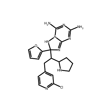 NC1=NC2=NC(c3ccco3)(C(Cc3ccnc(Cl)c3)C3CCCN3)NN2C(N)=N1